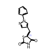 O=C1NC(=O)/C(=C/c2cnn(-c3ccccc3)c2)S1